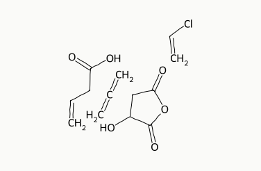 C=C=C.C=CCC(=O)O.C=CCl.O=C1CC(O)C(=O)O1